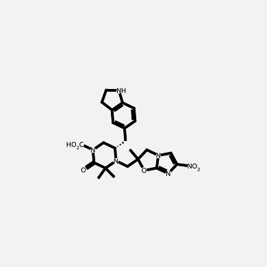 CC1(CN2[C@@H](Cc3ccc4c(c3)CCN4)CN(C(=O)O)C(=O)C2(C)C)Cn2cc([N+](=O)[O-])nc2O1